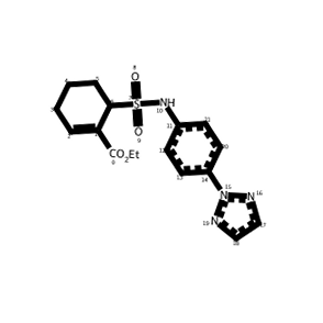 CCOC(=O)C1=CCCCC1S(=O)(=O)Nc1ccc(-n2nccn2)cc1